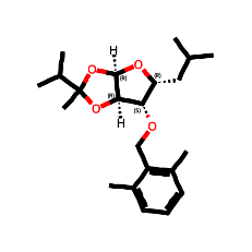 Cc1cccc(C)c1CO[C@@H]1[C@H]2OC(C)(C(C)C)O[C@H]2O[C@@H]1CC(C)C